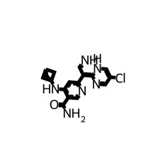 N=C/C(=C1/N=CC(Cl)=CN1)c1cc(NC23CC(C2)C3)c(C(N)=O)cn1